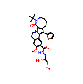 COCC(O)CNC(=O)c1cc2c(cc1OC)CCn1c3c(c(-c4cccs4)c1-2)CCCCN(C(C)(C)C)C3=O